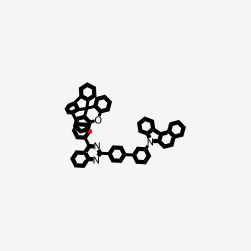 c1cc(-c2ccc(-c3nc(-c4ccc(-c5cccc6c5C5(c7ccccc7Oc7ccccc75)c5ccccc5-6)cc4)c4ccccc4n3)cc2)cc(-n2c3ccccc3c3c4ccccc4ccc32)c1